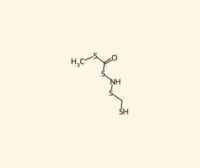 CSC(=O)SNSCS